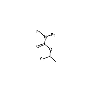 CCN(C(=O)OC(C)Cl)C(C)C